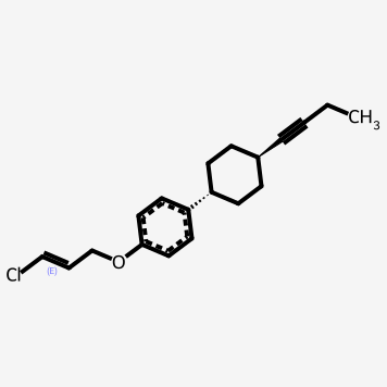 CCC#C[C@H]1CC[C@H](c2ccc(OC/C=C/Cl)cc2)CC1